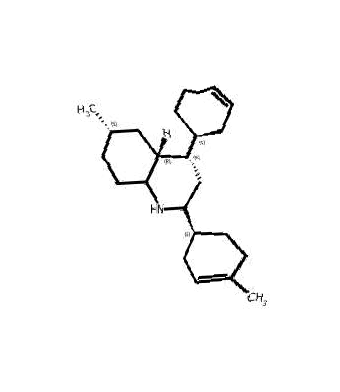 CC1=CC[C@@H](C2C[C@@H]([C@@H]3CC=CCC3)[C@H]3C[C@@H](C)CCC3N2)CC1